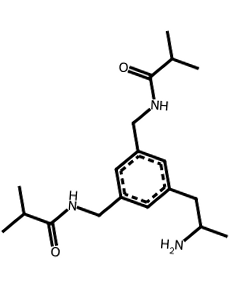 CC(N)Cc1cc(CNC(=O)C(C)C)cc(CNC(=O)C(C)C)c1